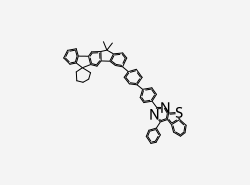 CC1(C)c2ccc(-c3ccc(-c4ccc(-c5nc(-c6ccccc6)c6c(n5)sc5ccccc56)cc4)cc3)cc2-c2cc3c(cc21)-c1ccccc1C31CCCCC1